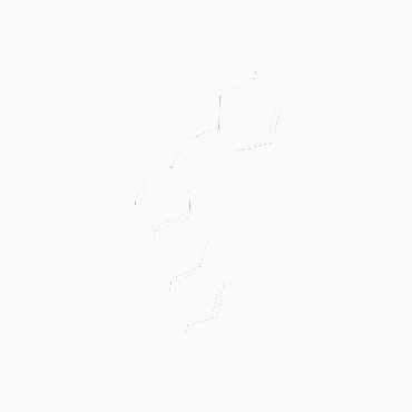 [c]1cc(Oc2ccccc2)nc(Oc2ccccc2)c1